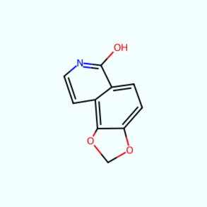 Oc1nccc2c3c(ccc12)OCO3